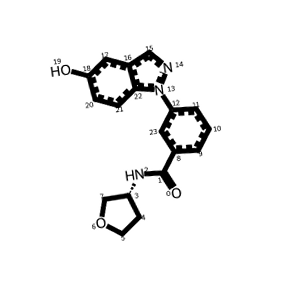 O=C(N[C@@H]1CCOC1)c1cccc(-n2ncc3cc(O)ccc32)c1